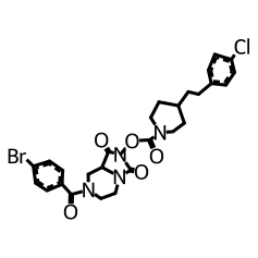 O=C(ON1C(=O)C2CN(C(=O)c3ccc(Br)cc3)CCN2C1=O)N1CCC(CCc2ccc(Cl)cc2)CC1